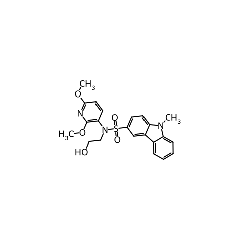 COc1ccc(N(CCO)S(=O)(=O)c2ccc3c(c2)c2ccccc2n3C)c(OC)n1